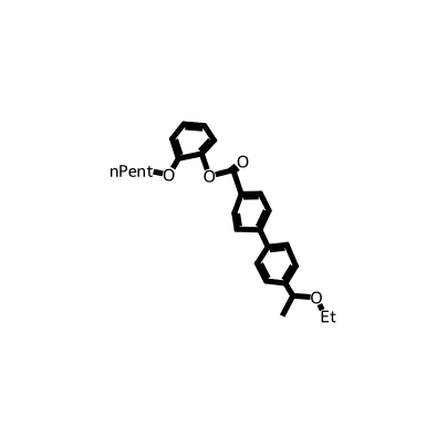 CCCCCOc1ccccc1OC(=O)c1ccc(-c2ccc(C(C)OCC)cc2)cc1